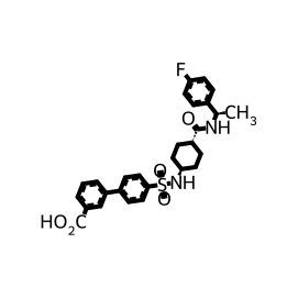 C[C@@H](NC(=O)[C@H]1CC[C@H](NS(=O)(=O)c2ccc(-c3cccc(C(=O)O)c3)cc2)CC1)c1ccc(F)cc1